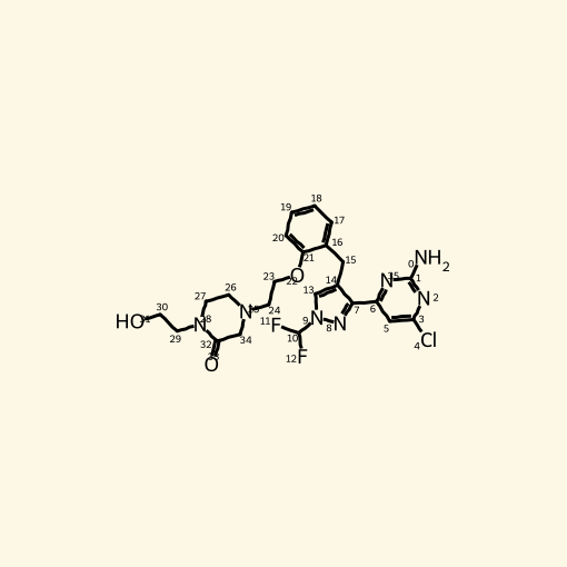 Nc1nc(Cl)cc(-c2nn(C(F)F)cc2Cc2ccccc2OCCN2CCN(CCO)C(=O)C2)n1